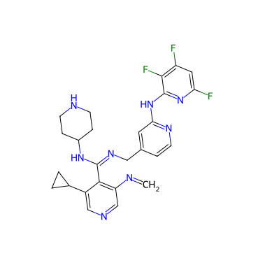 C=Nc1cncc(C2CC2)c1/C(=N\Cc1ccnc(Nc2nc(F)cc(F)c2F)c1)NC1CCNCC1